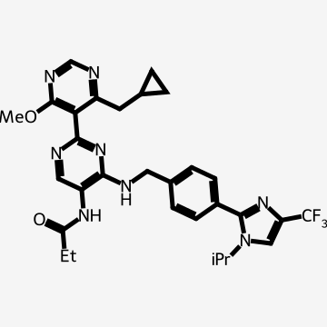 CCC(=O)Nc1cnc(-c2c(CC3CC3)ncnc2OC)nc1NCc1ccc(-c2nc(C(F)(F)F)cn2C(C)C)cc1